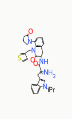 CC(C)n1cc(C[C@@H](N)C(=O)NC2Cc3cccc(N4CCCC4=O)c3N(Cc3ccsc3)C2=O)c2ccccc21